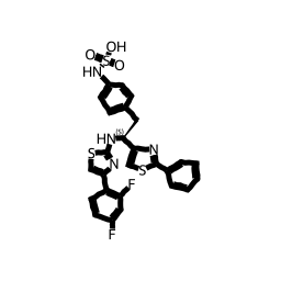 O=S(=O)(O)Nc1ccc(C[C@H](Nc2nc(-c3ccc(F)cc3F)cs2)c2csc(-c3ccccc3)n2)cc1